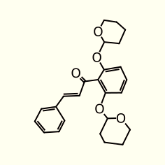 O=C(/C=C/c1ccccc1)c1c(OC2CCCCO2)cccc1OC1CCCCO1